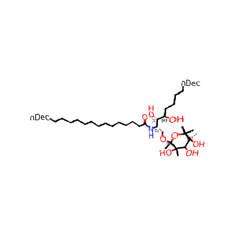 CCCCCCCCCCCCCCCCCCCCCCCC(=O)N[C@@H](CO[C@]1(C)OC(C)(C)[C@@](C)(O)C(O)C1(C)O)[C@H](O)[C@H](O)CCCCCCCCCCCCCC